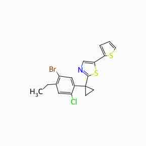 CCc1cc(Cl)c(C2(c3ncc(-c4cccs4)s3)CC2)cc1Br